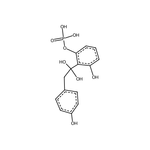 O=P(O)(O)Oc1cccc(O)c1C(O)(O)Cc1ccc(O)cc1